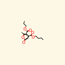 CCCCOC(=O)c1cc(=O)oc(C)c1C(=O)OCCC